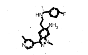 Cc1cc(-c2nn(C)c3cc(N)c(CCN[C@H](C)c4ccc(F)cc4)cc23)ccn1